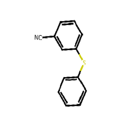 N#Cc1cccc(Sc2ccccc2)c1